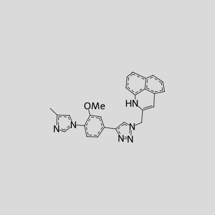 COc1cc(-c2cn(CC3=Cc4cccc5cccc(c45)N3)nn2)ccc1-n1cnc(C)c1